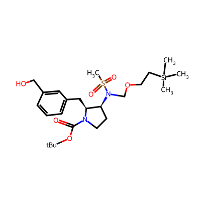 CC(C)(C)OC(=O)N1CC[C@H](N(COCC[Si](C)(C)C)S(C)(=O)=O)[C@@H]1Cc1cccc(CO)c1